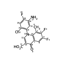 Cc1c(F)c(F)cc2c(=O)c(C(=O)O)cn(-c3cc(N)c(F)cc3Cl)c12